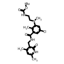 Cc1cc(C)c(CNC(=O)c2cc(Cl)cc(N(C)CCNC(=O)OC(C)(C)C)c2C)c(=O)[nH]1